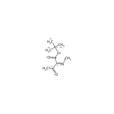 C/N=C(/C(C)=O)C(=O)OC(C)(C)C